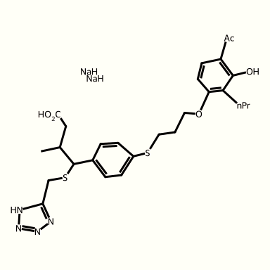 CCCc1c(OCCCSc2ccc(C(SCc3nnn[nH]3)C(C)CC(=O)O)cc2)ccc(C(C)=O)c1O.[NaH].[NaH]